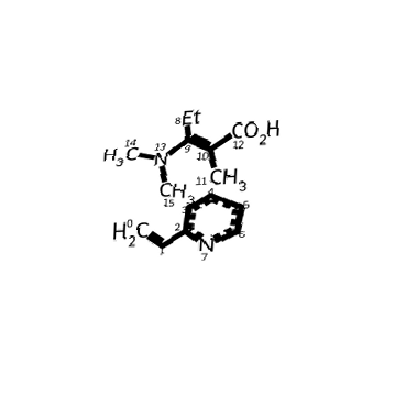 C=Cc1ccccn1.CC/C(=C(/C)C(=O)O)N(C)C